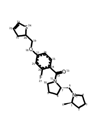 C[C@@H]1CCCN1C[C@@H]1CCCN1C(=O)c1ccc(OCC2CC=CS2)cc1F